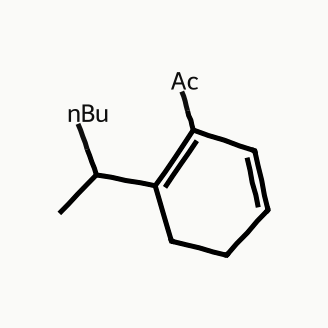 CCCCC(C)C1=C(C(C)=O)C=CCC1